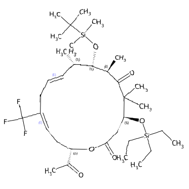 CC[Si](CC)(CC)O[C@H]1CC(=O)O[C@H](C(C)=O)C/C=C(/C(F)(F)F)C/C=C/[C@H](C)[C@H](O[Si](C)(C)C(C)(C)C)[C@@H](C)C(=O)C1(C)C